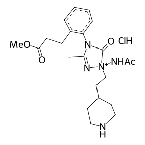 COC(=O)CCc1ccccc1N1C(=O)[N+](CCC2CCNCC2)(NC(C)=O)N=C1C.Cl